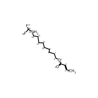 CC=CC(=O)OCCCCCCCCC[SiH2]C(F)F